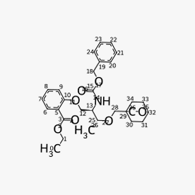 CCOC(=O)c1ccccc1OC[C@@H](NC(=O)OCc1ccccc1)[C@@H](C)OCC12CCC(CC1)OC2